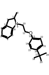 CC1Cc2ccccc2N1CCOc1ccc(C(C)(C)C)cc1